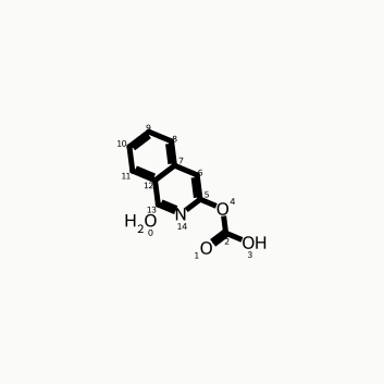 O.O=C(O)Oc1cc2ccccc2cn1